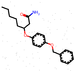 CCCCCC(CC(N)=O)Oc1ccc(OCc2ccccc2)cc1